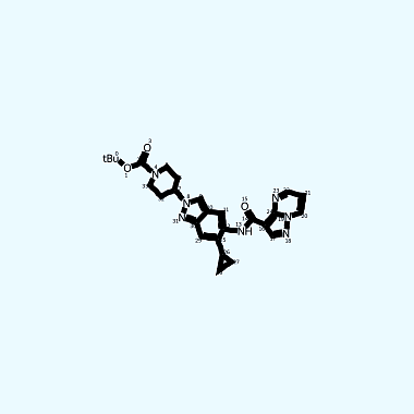 CC(C)(C)OC(=O)N1CCC(n2cc3cc(NC(=O)c4cnn5cccnc45)c(C4CC4)cc3n2)CC1